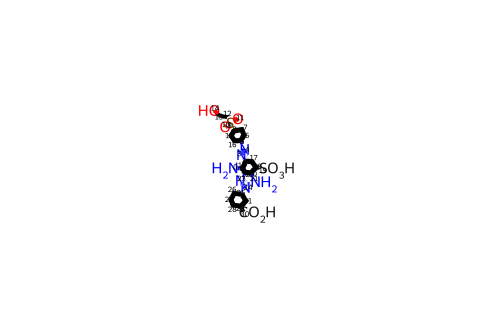 Nc1c(/N=N/c2ccc(S(=O)(=O)CCO)cc2)cc(S(=O)(=O)O)c(N)c1/N=N/c1cccc(C(=O)O)c1